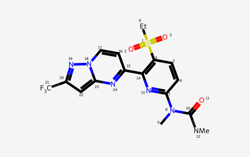 CCS(=O)(=O)c1ccc(N(C)C(=O)NC)nc1-c1ccn2nc(C(F)(F)F)cc2n1